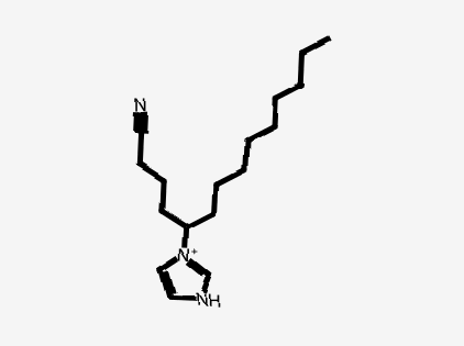 CCCCCCCCCC(CCCC#N)[n+]1cc[nH]c1